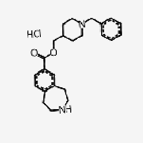 Cl.O=C(OCC1CCN(Cc2ccccc2)CC1)c1ccc2c(c1)CCNCC2